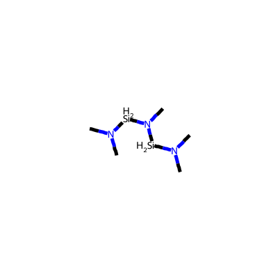 CN(C)[SiH2]N(C)[SiH2]N(C)C